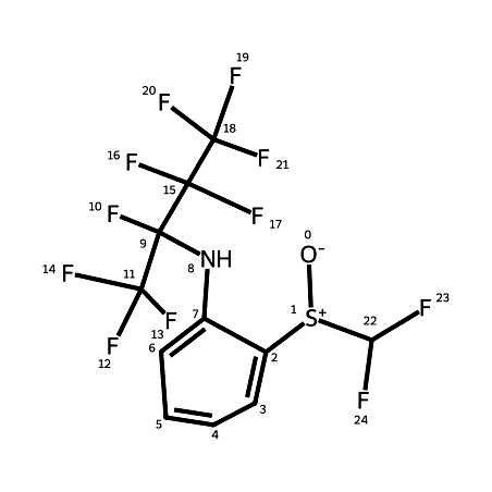 [O-][S+](c1ccccc1NC(F)(C(F)(F)F)C(F)(F)C(F)(F)F)C(F)F